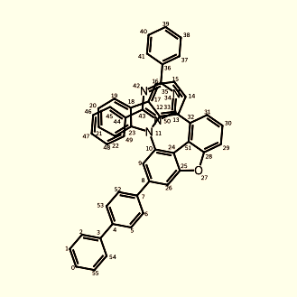 c1ccc(-c2ccc(-c3cc(-n4c5ccccc5c5ccccc54)c4c(c3)oc3cccc(-c5nc(-c6ccccc6)nc(-c6ccccc6)n5)c34)cc2)cc1